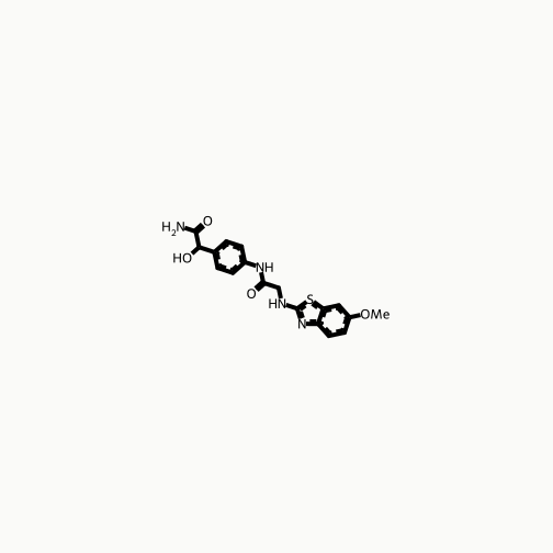 COc1ccc2nc(NCC(=O)Nc3ccc(C(O)C(N)=O)cc3)sc2c1